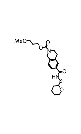 COCCCOC(=O)N1CCc2cc(C(=O)NOC3CCCCO3)ccc2C1